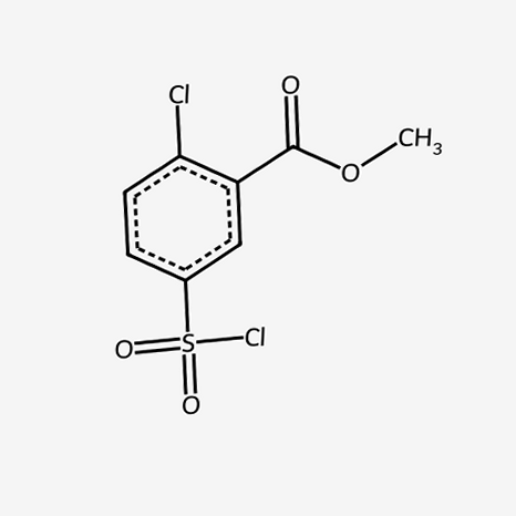 COC(=O)c1cc(S(=O)(=O)Cl)ccc1Cl